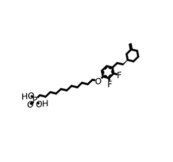 C=C1CCC[C@@H](CCc2ccc(OCCCCCCCCCCCP(=O)(O)O)c(F)c2F)C1